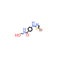 O=C(NCCO)c1ccc(Nc2ncc(Br)s2)cc1